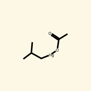 CC(=O)[O][Hg][CH2]C(C)C